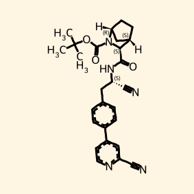 CC(C)(C)OC(=O)N1[C@@H]2CC[C@@H](C2)[C@H]1C(=O)N[C@H](C#N)Cc1ccc(-c2ccnc(C#N)c2)cc1